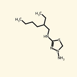 CCCCC(CC)CNC1=NN(N)CS1